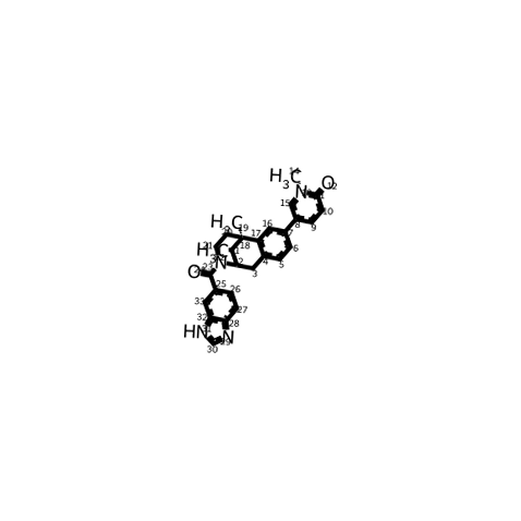 CC1C2Cc3ccc(-c4ccc(=O)n(C)c4)cc3[C@]1(C)CCN2C(=O)c1ccc2nc[nH]c2c1